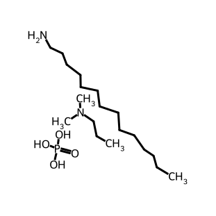 CCCCCCCCCCCCCCN.CCCN(C)C.O=P(O)(O)O